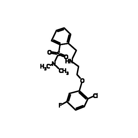 CN(C)S(=O)(=O)c1ccccc1CNCCOc1cc(F)ccc1Cl